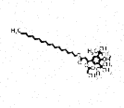 CCCCCCCCCCCCCCCCCCOC(=O)CC(OC(=O)CC)c1cc(C(C)(C)C)c(O)c(C(C)(C)C)c1